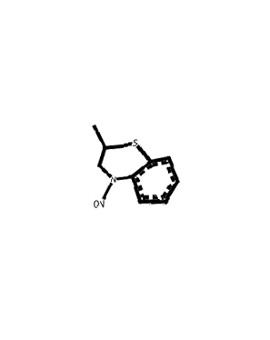 CC1CN(N=O)c2ccccc2S1